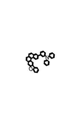 c1ccc(N(c2ccccc2)c2cccc(-c3ccc4c(ccc5ccc6cc7oc8ccccc8c7cc6c54)c3)c2)cc1